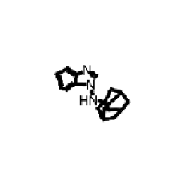 c1ccc2c(c1)ncn2NC12CC3CC(CC(C3)C1)C2